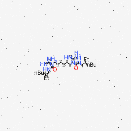 CCCCC(CC)CNC(=O)N(CCCCCCN(C(=N)N)C(=O)NCC(CC)CCCC)C(=N)N